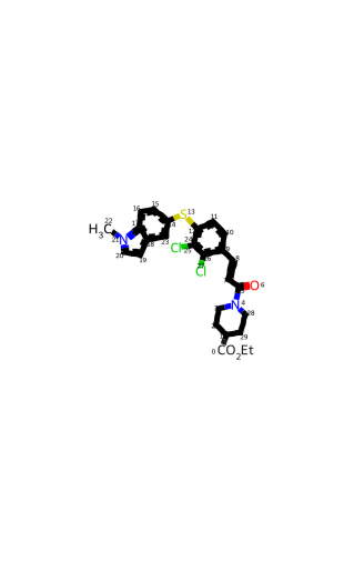 CCOC(=O)C1CCN(C(=O)C=Cc2ccc(Sc3ccc4c(ccn4C)c3)c(Cl)c2Cl)CC1